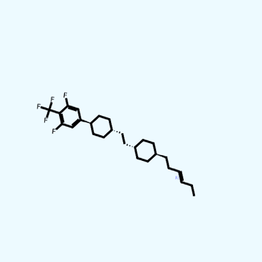 CC/C=C/CC[C@H]1CC[C@H](CC[C@H]2CC[C@H](c3cc(F)c(C(F)(F)F)c(F)c3)CC2)CC1